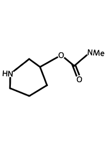 CNC(=O)OC1CCCNC1